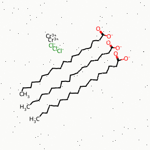 CCCCCCCCCCCCCCCCCC(=O)[O-].CCCCCCCCCCCCCCCCCC(=O)[O-].CCCCCCCCCCCCCCCCCC(=O)[O-].[Cl-].[Cl-].[Cl-].[Cr+3].[Cr+3]